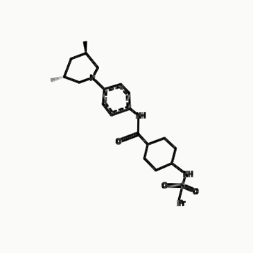 CC(C)S(=O)(=O)NC1CCC(C(=O)Nc2ccc(N3C[C@H](C)C[C@@H](C)C3)cc2)CC1